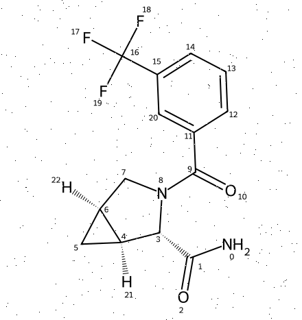 NC(=O)[C@@H]1[C@H]2C[C@H]2CN1C(=O)c1cccc(C(F)(F)F)c1